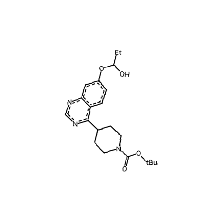 CCC(O)Oc1ccc2c(C3CCN(C(=O)OC(C)(C)C)CC3)ncnc2c1